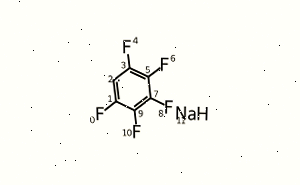 Fc1[c]c(F)c(F)c(F)c1F.[NaH]